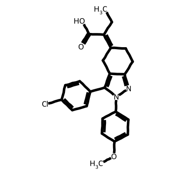 CCC(C(=O)O)=C1CCc2nn(-c3ccc(OC)cc3)c(-c3ccc(Cl)cc3)c2C1